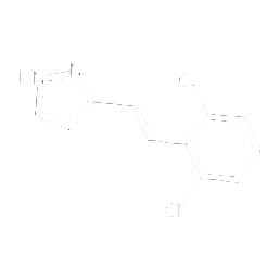 Clc1cccc(Cl)c1/C=C/c1cc[nH]n1